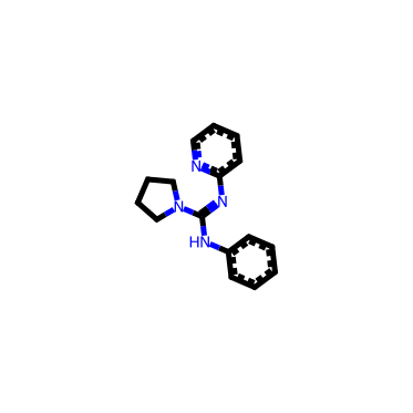 c1ccc(NC(=Nc2ccccn2)N2CCCC2)cc1